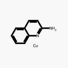 Nc1ccc2ccccc2n1.[Cu]